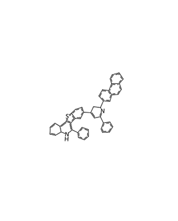 C1=CC2=c3sc4ccc(C5=CC(c6ccccc6)=NC(c6ccc7c(ccc8ccccc87)c6)C5)cc4c3=C(c3ccccc3)NC2C=C1